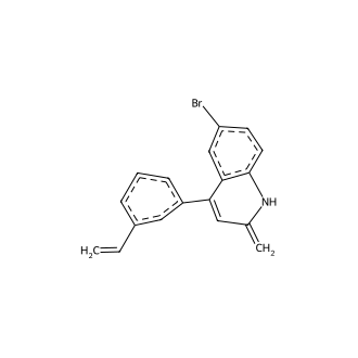 C=Cc1cccc(C2=CC(=C)Nc3ccc(Br)cc32)c1